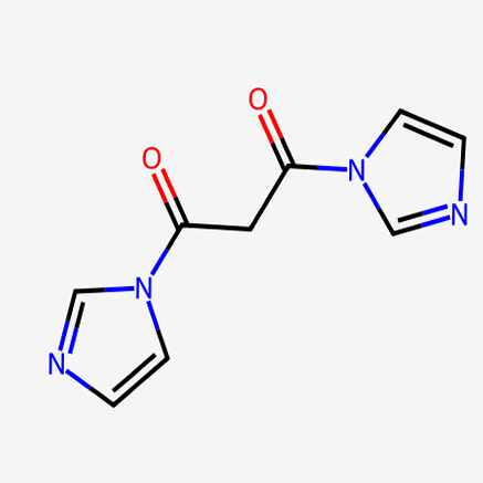 O=C(CC(=O)n1ccnc1)n1ccnc1